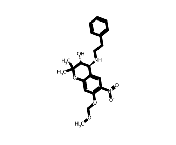 COCOc1cc2c(cc1[N+](=O)[O-])[C@H](NCCc1ccccc1)[C@@H](O)C(C)(C)O2